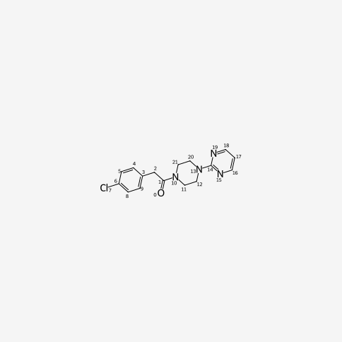 O=C(Cc1ccc(Cl)cc1)N1CCN(c2ncccn2)CC1